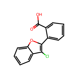 O=C(O)c1ccccc1-c1oc2ccccc2c1Cl